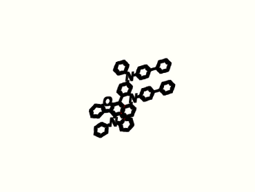 c1ccc(-c2ccc(N(c3ccccc3)c3ccc(-c4cc5c6ccccc6n(-c6ccccc6)c5c5c4oc4ccccc45)c(N(c4ccccc4)c4ccc(-c5ccccc5)cc4)c3)cc2)cc1